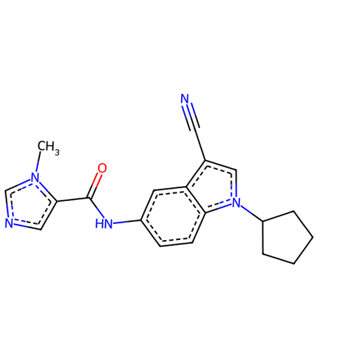 Cn1cncc1C(=O)Nc1ccc2c(c1)c(C#N)cn2C1CCCC1